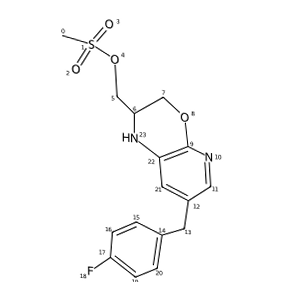 CS(=O)(=O)OCC1COc2ncc(Cc3ccc(F)cc3)cc2N1